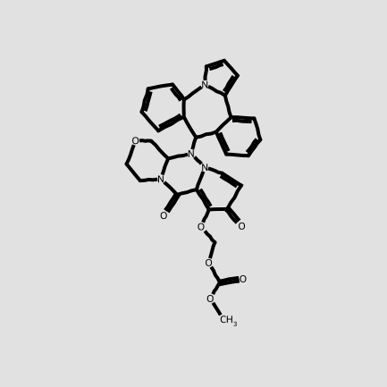 COC(=O)OCOc1c2n(ccc1=O)N(C1c3ccccc3-c3cccn3-c3ccccc31)C1COCCN1C2=O